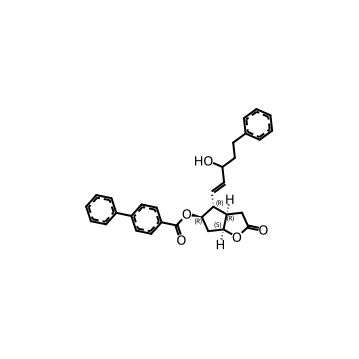 O=C1C[C@@H]2[C@@H](C=CC(O)CCc3ccccc3)[C@H](OC(=O)c3ccc(-c4ccccc4)cc3)C[C@@H]2O1